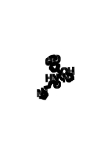 O=C(CCCn1cccn1)N[C@H](CN1CCCC1)C(O)c1ccc2c(c1)OCCO2